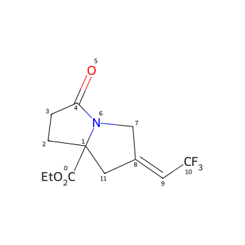 CCOC(=O)C12CCC(=O)N1C/C(=C\C(F)(F)F)C2